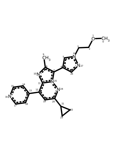 COCCn1cc(-c2c(C)nc3c(-c4ccncc4)cc(C4CC4)nn23)cn1